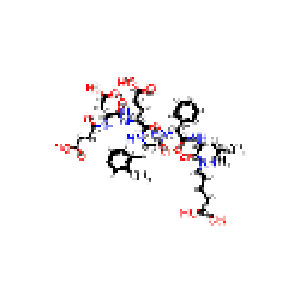 Cc1ccccc1C[C@H](NC(=O)[C@H](CCC(=O)O)NC(=O)[C@H](CC(=O)O)NC(=O)CCC(=O)O)C(=O)N[C@H](C(=O)N[C@@H](CC(C)C)C(=O)NC=CCCB(O)O)c1ccccc1